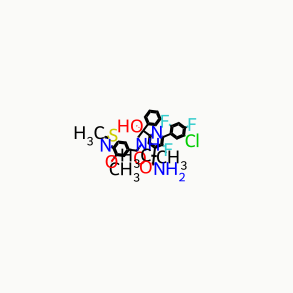 COc1cc(C(=O)NC[C@@](O)(c2ccccc2)c2cc(C(C)(C)C(N)=O)c(F)c(-c3cc(Cl)c(F)cc3F)n2)cc2sc(C)nc12